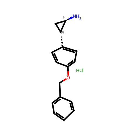 Cl.N[C@@H]1C[C@H]1c1ccc(OCc2ccccc2)cc1